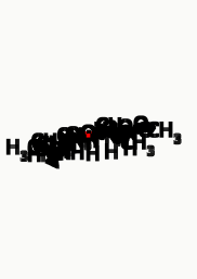 CCOC(=O)CCNC(=O)c1nc(NC(=O)c2cc(NC(=O)CCNC(=O)c3nc(NC(=O)CC4(CNC(=O)OC(C)(C)C)CC4)cn3C)cn2C)cn1C